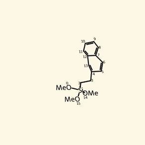 CO[Si](CCc1ccc2ccccc2c1)(OC)OC